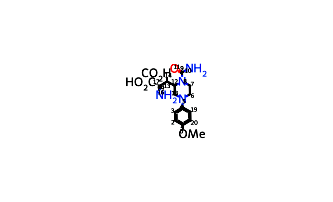 COc1ccc(N2CCN(C(N)=O)C(C(C(=O)O)[C@H](N)C(=O)O)C2)cc1